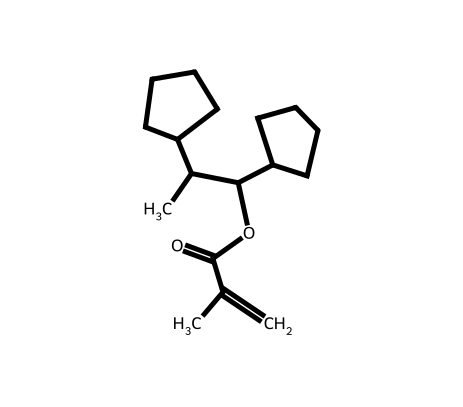 C=C(C)C(=O)OC(C1CCCC1)C(C)C1CCCC1